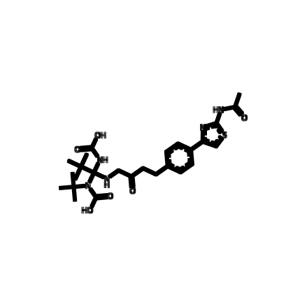 CC(=O)Nc1nc(-c2ccc(CCC(=O)CNC(NC(=O)O)(N(C(=O)O)C(C)(C)C)C(C)(C)C)cc2)cs1